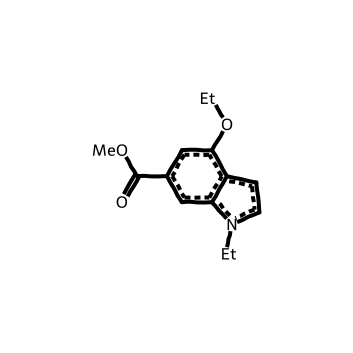 CCOc1cc(C(=O)OC)cc2c1ccn2CC